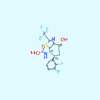 O=C(O)N[C@@H]1c2sc(C(F)(F)F)nc2[C@H](O)CC[C@H]1c1cccc(F)c1F